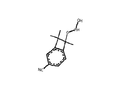 CC1(C)c2cc(C#N)ccc2C1(C)OPO